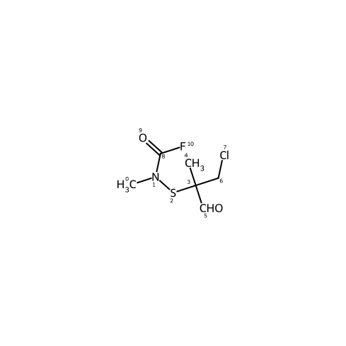 CN(SC(C)(C=O)CCl)C(=O)F